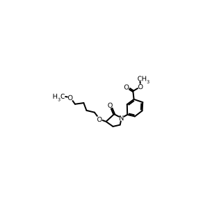 COCCCCOC1CCN(c2cccc(C(=O)OC)c2)C1=O